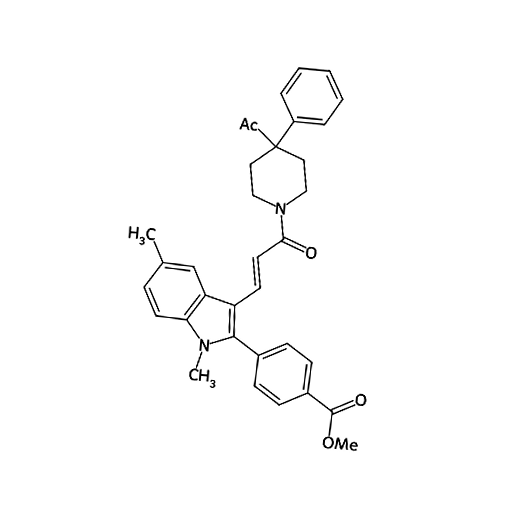 COC(=O)c1ccc(-c2c(C=CC(=O)N3CCC(C(C)=O)(c4ccccc4)CC3)c3cc(C)ccc3n2C)cc1